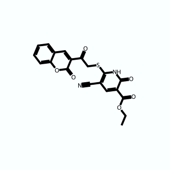 CCOC(=O)c1cc(C#N)c(SCC(=O)c2cc3ccccc3oc2=O)[nH]c1=O